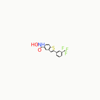 O=C(NO)c1ccc2sc(-c3cccc(C(F)(F)F)c3)cc2c1